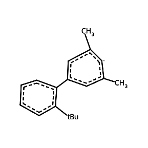 Cc1[c]c(C)cc(-c2ccccc2C(C)(C)C)c1